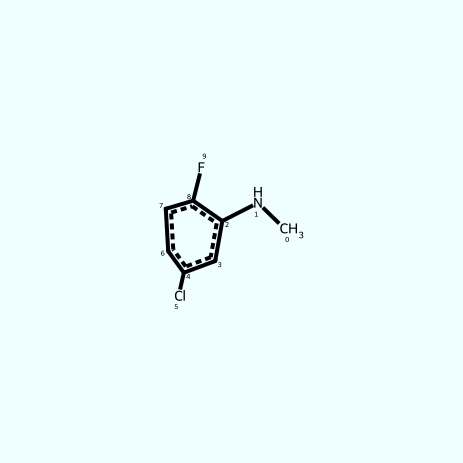 CNc1cc(Cl)ccc1F